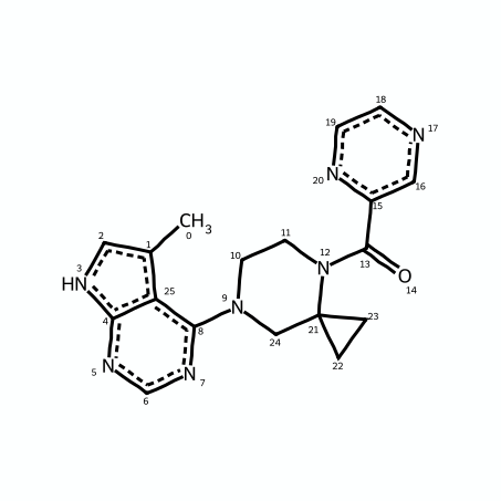 Cc1c[nH]c2ncnc(N3CCN(C(=O)c4cnccn4)C4(CC4)C3)c12